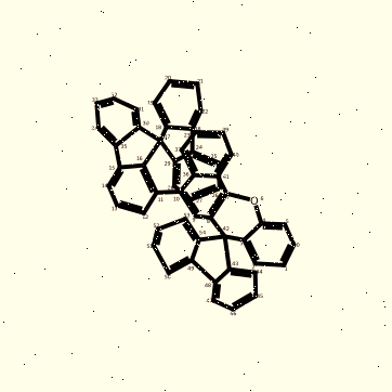 c1ccc2c(c1)Oc1c(cc(-c3cccc4c3C3(c5ccccc5-c5ccccc53)c3ccccc3-4)c3ccccc13)C21c2ccccc2-c2ccccc21